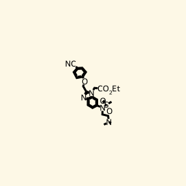 CCOC(=O)Cn1c(COc2ccc(C#N)cc2)nc2ccc(N(CCN(C)C)S(C)(=O)=O)cc21